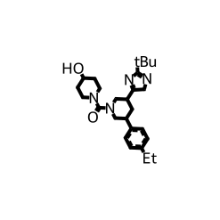 CCc1ccc(C2CC(C3=NC(C(C)(C)C)=NC3)CN(C(=O)N3CCC(O)CC3)C2)cc1